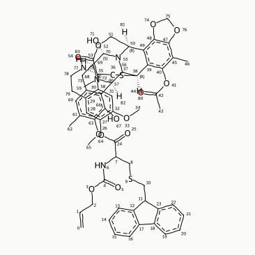 C=CCOC(=O)NC(CSCC1c2ccccc2-c2ccccc21)C(=O)Oc1cc2c(cc1OC)[C@@]1(CS[C@@H]3c4c(OC(C)=O)c(C)c5c(c4[C@H](COC1=O)N1C3[C@H]3c4c(cc(C)c(OC)c4O)C[C@@H]([C@@H]1O)N3C)OCO5)NCC2